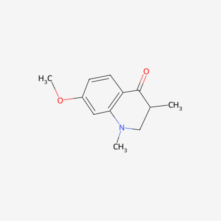 COc1ccc2c(c1)N(C)CC(C)C2=O